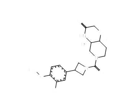 O=C1CO[C@H]2CCN(C(=O)N3CC(c4ccc(OC(F)(F)F)c(Cl)c4)C3)C[C@H]2N1